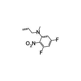 C=CCN(C)c1cc(F)cc(F)c1[N+](=O)[O-]